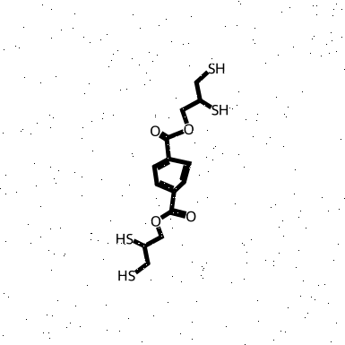 O=C(OCC(S)CS)c1ccc(C(=O)OCC(S)CS)cc1